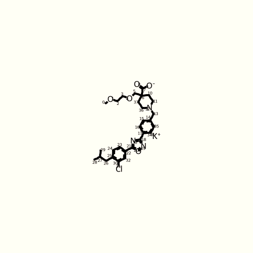 COCCOCC1(C(=O)[O-])CCN(Cc2ccc(-c3noc(-c4ccc(CC(C)C)c(Cl)c4)n3)cc2)CC1.[K+]